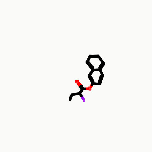 CCC(I)C(=O)Oc1ccc2ccccc2c1